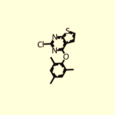 Cc1cc(C)c(Oc2nc(Cl)nc3sccc23)c(C)c1